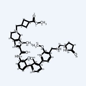 COC(=O)C1CC(CN2CCc3nc(C(=O)Nc4cccc(-c5nccc(-c6ccc(CNC[C@H]7CCC(=O)N7)c(OC)n6)c5Cl)c4Cl)n(C)c3C2)C1